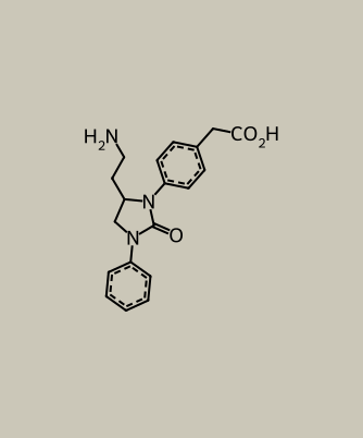 NCCC1CN(c2ccccc2)C(=O)N1c1ccc(CC(=O)O)cc1